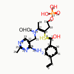 C=Cc1ccc(/C(O)=[SH]/C(CCOP(=O)(O)O)=C(/C)N(C=O)Cc2cnc(C)nc2N)cc1